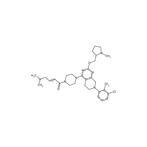 CN(C)C/C=C/C(=O)N1CCN(c2nc(OCC3CCCN3C)nc3c2CCN(c2cccc(Cl)c2C(F)(F)F)C3)CC1